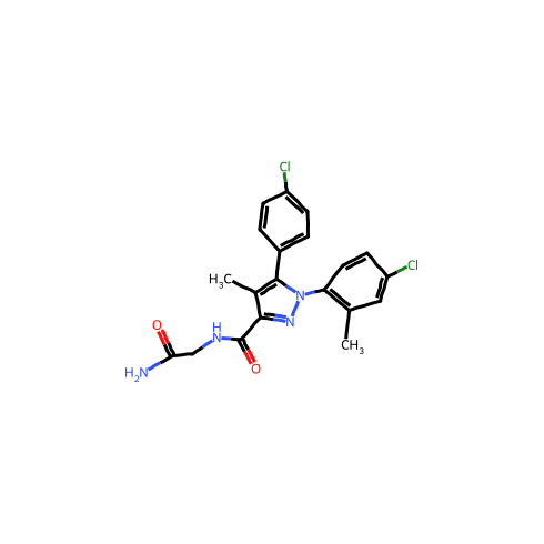 Cc1cc(Cl)ccc1-n1nc(C(=O)NCC(N)=O)c(C)c1-c1ccc(Cl)cc1